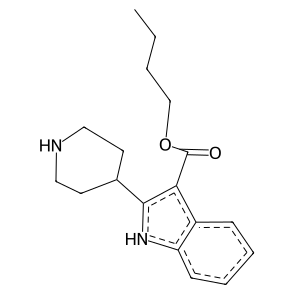 CCCCOC(=O)c1c(C2CCNCC2)[nH]c2ccccc12